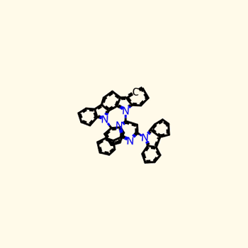 c1ccc(-c2nc(-n3c4ccccc4c4ccccc43)cc(-n3c4ccccc4c4ccc5c6ccccc6n(-c6ccccc6)c5c43)n2)cc1